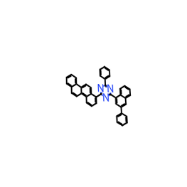 c1ccc(-c2cc(-c3nc(-c4ccccc4)nc(-c4cccc5c4ccc4c6ccccc6ccc54)n3)c3ccccc3c2)cc1